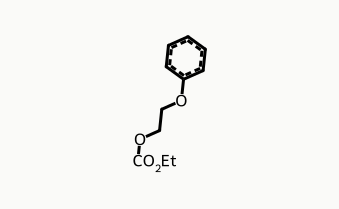 C[CH]OC(=O)OCCOc1ccccc1